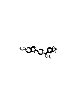 CC(c1ccc2scnc2c1)N1CCN(c2ncc3c(n2)CCN(C)C3)CC1